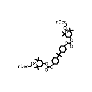 CCCCCCCCCCCON1C(C)(C)CC(OC(=O)OC2CCC(C(C)(C)C3CCC(OC(=O)OC4CC(C)(C)N(OCCCCCCCCCCC)C(C)(C)C4)CC3)CC2)CC1(C)C